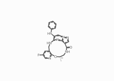 C[C@H]1CNC(=O)c2cnn3cc(Nc4ccccc4)c(nc23)NCc2cc(F)cnc2O1